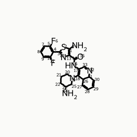 Nc1sc(-c2c(F)cccc2F)nc1C(=O)NC1=C(N2CCC[C@H](N)C2)C2C=CC=CC2N=C1